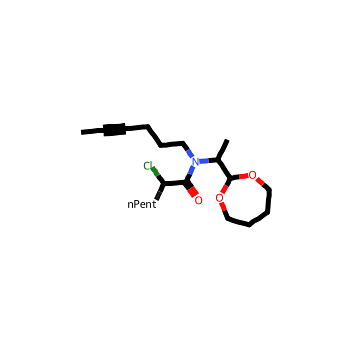 CC#CCCCN(C(=O)C(Cl)CCCCC)C(C)C1OCCCCO1